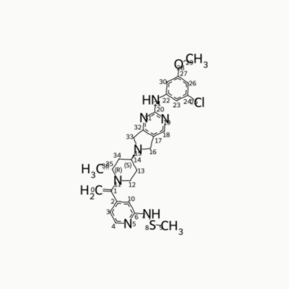 C=C(c1ccnc(NSC)c1)N1CC[C@H](N2Cc3cnc(Nc4cc(Cl)cc(OC)c4)nc3C2)C[C@H]1C